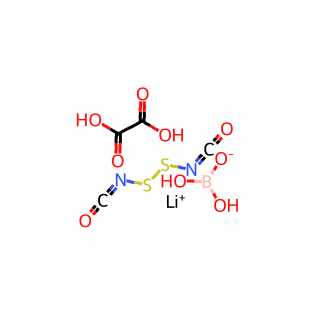 O=C(O)C(=O)O.O=C=NSSN=C=O.[Li+].[O-]B(O)O